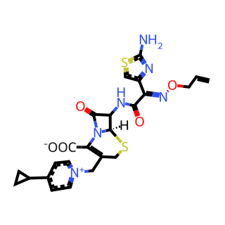 C=CCO/N=C(/C(=O)NC1C(=O)N2C(C(=O)[O-])=C(C[n+]3ccc(C4CC4)cc3)CS[C@H]12)c1csc(N)n1